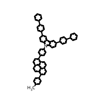 Cc1ccc(-c2ccc3ccc4c(-c5ccc(-n6c7ccc(-c8ccc(-c9ccccc9)cc8)cc7c7cc(-c8ccc(-c9ccccc9)cc8)ccc76)cc5)ccc5ccc2c3c54)cc1